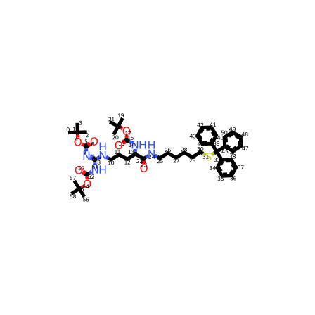 CC(C)(C)OC(=O)/N=C(\NCCCC(NC(=O)OC(C)(C)C)C(=O)NCCCCCCSC(c1ccccc1)(c1ccccc1)c1ccccc1)NC(=O)OC(C)(C)C